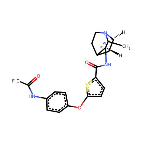 C[C@H]1[C@H](NC(=O)c2ccc(Oc3ccc(NC(=O)C(F)(F)F)cc3)s2)C2CCN1CC2